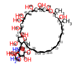 C[C@H]1CC(O)[C@@H](C)/C=C/C=C/C=C/C=C/C=C/C=C/C=C/C(O[C@@H]2OCC(O)[C@H](N)C2O)C[C@@H]2OC(O)(CC(O)CC(O)C(O)CCC(O)CC(O)CC(=O)O1)C[C@H](O)C2C(=O)N[C@@H]1COC[C@H]1O